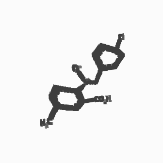 Cc1ccc([S+]([O-])Cc2ccc(Cl)cc2)c(C(=O)O)c1